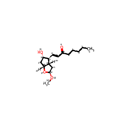 CCCCCC(=O)C=C[C@H]1[C@@H]2C[C@@H](OC)O[C@@H]2C[C@@H]1O